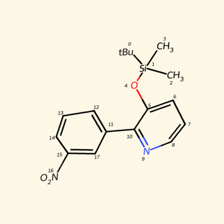 CC(C)(C)[Si](C)(C)Oc1cccnc1-c1cccc([N+](=O)[O-])c1